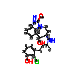 CC(CCc1cccc(O)c1Cl)N[C@@H]1CCn2c(=O)[nH]c3cccc(c32)[C@H]1O